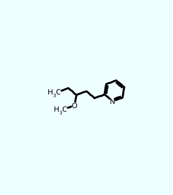 CCC(CCc1ccccn1)OC